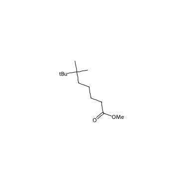 COC(=O)CCCCC(C)(C)C(C)(C)C